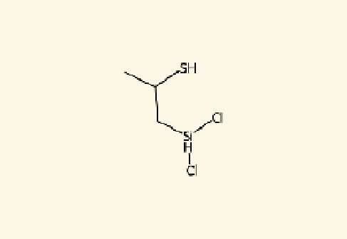 CC(S)C[SiH](Cl)Cl